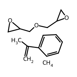 C.C(OCC1CO1)C1CO1.C=C(C)c1ccccc1